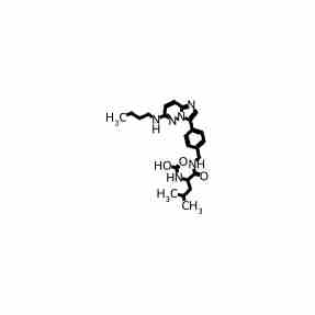 CCCCNc1ccc2ncc(-c3ccc(CNC(=O)C(CC(C)C)NC(=O)O)cc3)n2n1